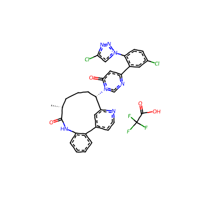 C[C@@H]1CCC[C@H](n2cnc(-c3cc(Cl)ccc3-n3cc(Cl)nn3)cc2=O)c2cc(ccn2)-c2ccccc2NC1=O.O=C(O)C(F)(F)F